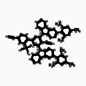 Cc1cc(C)c(-c2ccc3c(c2)c2ccccc2n3-c2cc(-c3ccc(C#N)cc3C(F)(F)F)cc(-n3c4ccccc4c4cc(-c5c(C)cc(C)cc5C)ccc43)c2C#N)c(C)c1